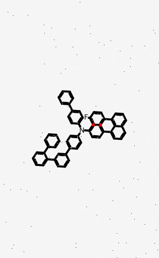 Fc1ccc(-c2cccc3cccc(-c4ccc(N(c5ccc(-c6ccccc6)cc5)c5ccc(-c6cccc(-c7ccccc7-c7ccccc7)c6)cc5)cc4)c23)cc1